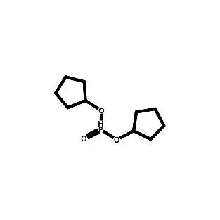 O=[PH](OC1CCCC1)OC1CCCC1